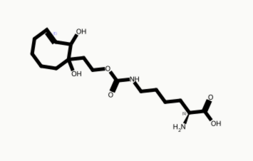 N[C@@H](CCCCNC(=O)OCCC1(O)CCCC/C=C/C1O)C(=O)O